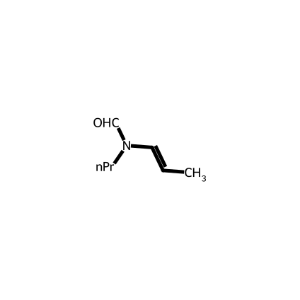 CC=CN(C=O)CCC